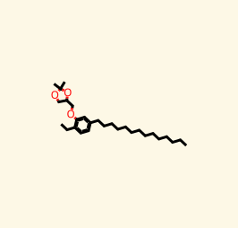 CCCCCCCCCCCCCCc1ccc(CC)c(OCC2COC(C)(C)O2)c1